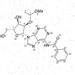 COC(C)O[C@@H]1[C@H](O)[C@@H](CO)O[C@H]1n1cnc2c(NC(=O)c3ccccc3)ncnc21